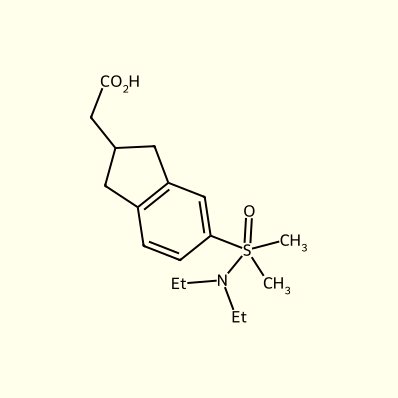 CCN(CC)S(C)(C)(=O)c1ccc2c(c1)CC(CC(=O)O)C2